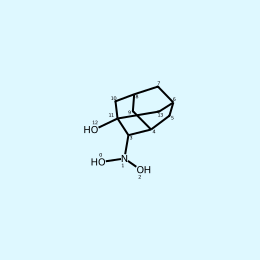 ON(O)C1C2CC3CC(C2)CC1(O)C3